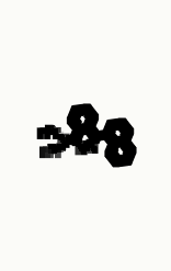 CCCN(CCC)c1nnc(-c2cccc3ccccc23)c2ccccc12